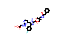 CC1(CNC(=O)Cc2ccccc2)COC(c2nc(-c3ccc(F)cc3)c(-c3ccnc(NCC(=O)O)n3)[nH]2)OC1